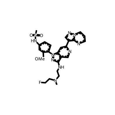 COc1cc(NS(C)(=O)=O)ccc1-n1nc(NCCN(C)CCF)c2cnc(-c3cnn4cccnc34)cc21